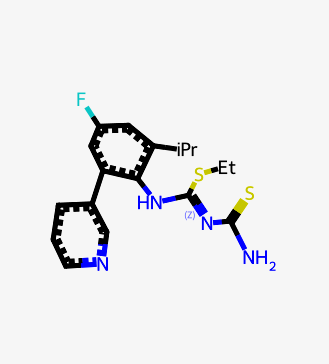 CCS/C(=N\C(N)=S)Nc1c(-c2cccnc2)cc(F)cc1C(C)C